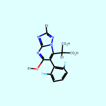 CCOc1nc2nc(CC)nn2c(C(CC)(C(=O)O)C(=O)O)c1-c1c(F)cccc1F